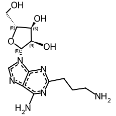 NCCCc1nc(N)c2ncn([C@@H]3O[C@H](CO)[C@@H](O)[C@H]3O)c2n1